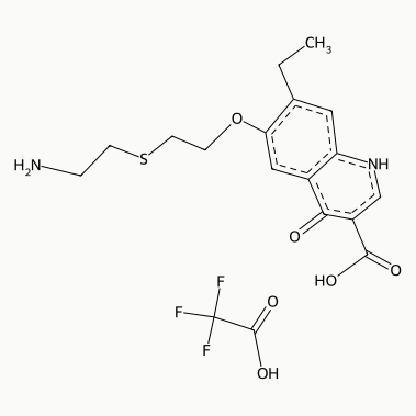 CCc1cc2[nH]cc(C(=O)O)c(=O)c2cc1OCCSCCN.O=C(O)C(F)(F)F